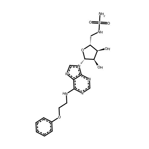 NS(=O)(=O)NC[C@H]1O[C@@H](n2cnc3c(NCCOc4ccccc4)ncnc32)[C@H](O)[C@@H]1O